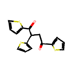 O=C(CC(C(=O)c1cccs1)c1cccs1)c1cccs1